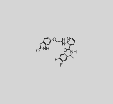 C[C@H](NC(=O)c1cccnc1NCCOc1ccc2c(c1)NC(=O)C2)c1ccc(F)c(F)c1